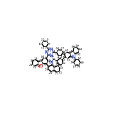 c1ccc(-c2nc(-c3ccccc3)nc(-c3cc4c5ccccc5oc4c4c5ccc6ccccc6c5n(Cc5cccc(-c6ccc7c8ccccc8n(-c8ccccc8)c7c6)c5)c34)n2)cc1